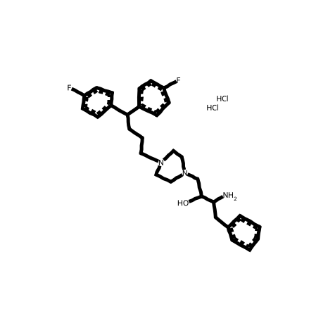 Cl.Cl.NC(Cc1ccccc1)C(O)CN1CCN(CCCC(c2ccc(F)cc2)c2ccc(F)cc2)CC1